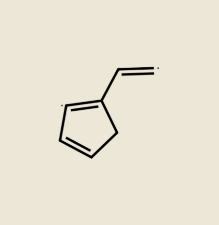 [CH]=CC1=[C]C=CC1